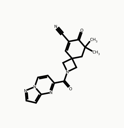 CC1(C)CC2(C=C(C#N)C1=O)CN(C(=O)c1ccn3nccc3n1)C2